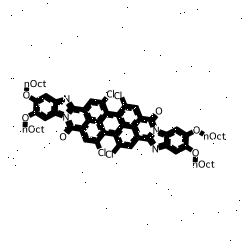 CCCCCCCCOc1cc2nc3c4cc(Cl)c5c6c(Cl)cc7c(=O)n8c9cc(OCCCCCCCC)c(OCCCCCCCC)cc9nc8c8cc(Cl)c(c9c(Cl)cc(c(=O)n3c2cc1OCCCCCCCC)c4c95)c6c78